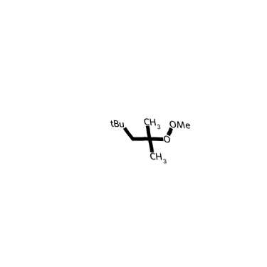 [CH2]OOC(C)(C)CC(C)(C)C